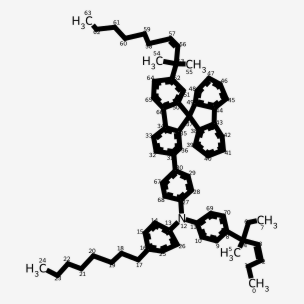 CC/C=C\C(C)(CC)c1ccc(N(c2ccc(CCCCCCCC)cc2)c2ccc(-c3ccc4c(c3)C3(c5ccccc5-c5ccccc53)c3cc(C(C)(C)/C=C\CCCCCC)ccc3-4)cc2)cc1